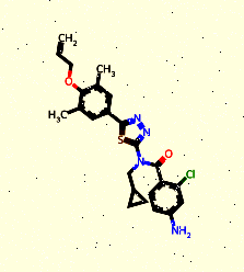 C=CCOc1c(C)cc(-c2nnc(N(CC3CC3)C(=O)c3ccc(N)cc3Cl)s2)cc1C